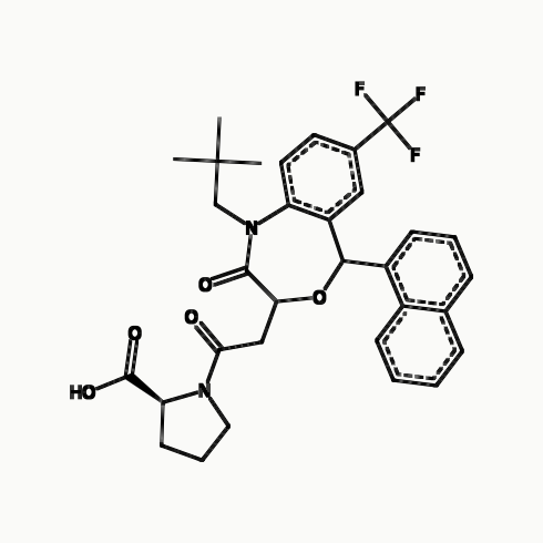 CC(C)(C)CN1C(=O)C(CC(=O)N2CCC[C@H]2C(=O)O)OC(c2cccc3ccccc23)c2cc(C(F)(F)F)ccc21